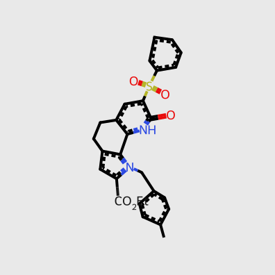 CCOC(=O)c1cc2c(n1Cc1ccc(C)cc1)-c1[nH]c(=O)c(S(=O)(=O)c3ccccc3)cc1CC2